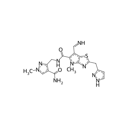 Cn1cc(C(N)=O)c(CNC(=O)c2c(C=N)c3sc(Cc4cc[nH]n4)nc3n2C)n1